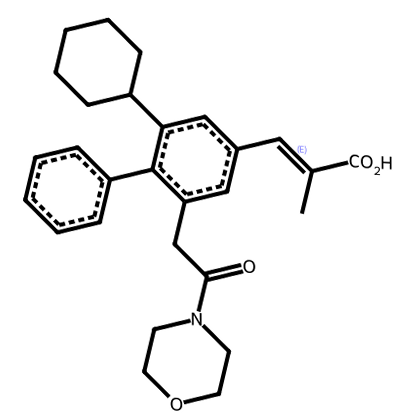 C/C(=C\c1cc(CC(=O)N2CCOCC2)c(-c2ccccc2)c(C2CCCCC2)c1)C(=O)O